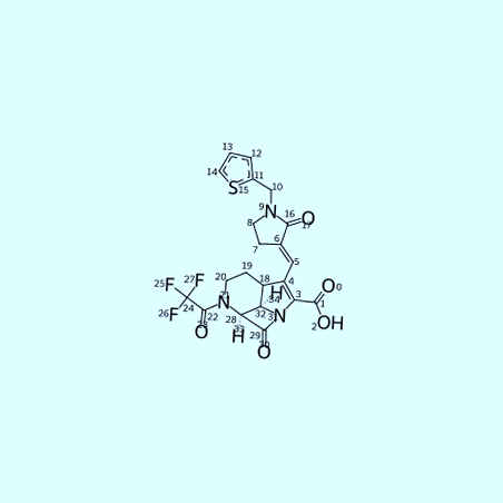 O=C(O)C1=C(/C=C2\CCN(Cc3cccs3)C2=O)C2CCN(C(=O)C(F)(F)F)[C@@H]3C(=O)N1[C@H]23